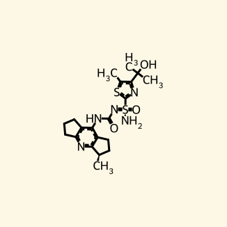 Cc1sc([S@@](N)(=O)=NC(=O)Nc2c3c(nc4c2CC[C@H]4C)CCC3)nc1C(C)(C)O